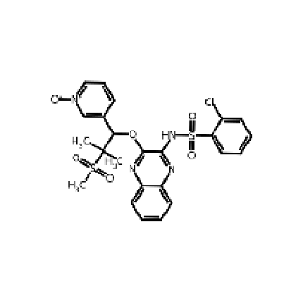 CC(C)(C(Oc1nc2ccccc2nc1NS(=O)(=O)c1ccccc1Cl)c1ccc[n+]([O-])c1)S(C)(=O)=O